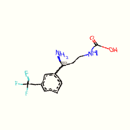 N[C@@H](CCNC(=O)O)c1cccc(C(F)(F)F)c1